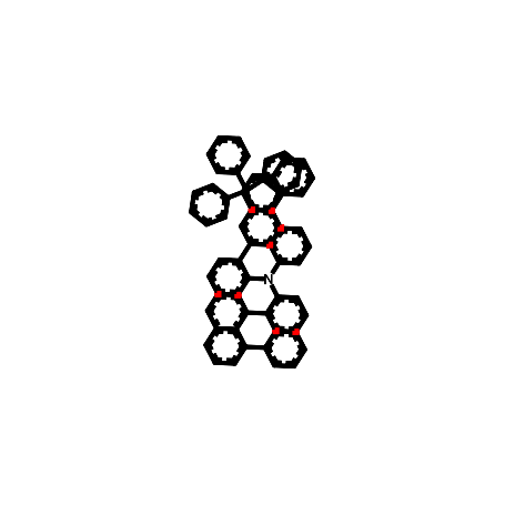 c1ccc(-c2cccc3cccc(-c4ccccc4N(c4cccc(-c5cccc6ccccc56)c4)c4ccccc4-c4ccc5c(c4)C(c4ccccc4)(c4ccccc4)c4ccccc4-5)c23)cc1